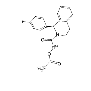 NC(=O)ONC(=O)N1CCc2ccccc2[C@@H]1c1ccc(F)cc1